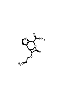 C=CCON1C(=O)N2CC1c1ccsc1C2C(N)=O